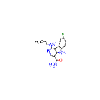 CCCNc1ncc(C(N)=O)c2[nH]c3ccc(F)cc3c12